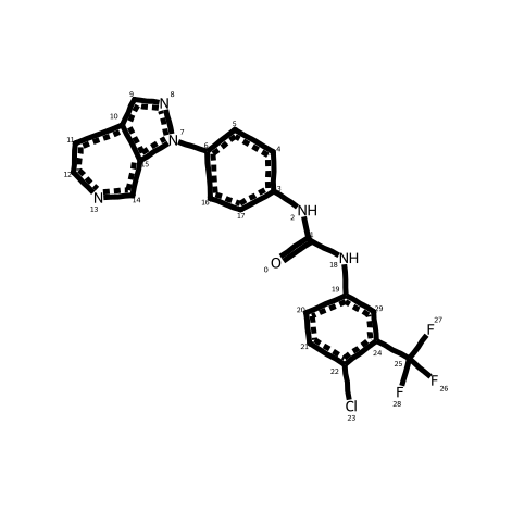 O=C(Nc1ccc(-n2ncc3ccncc32)cc1)Nc1ccc(Cl)c(C(F)(F)F)c1